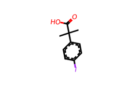 CC(C)(C(=O)O)c1ccc(I)cc1